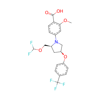 COc1cc(N2C[C@@H](Oc3ccc(C(F)(F)F)cc3)C[C@H]2COC(F)F)ccc1C(=O)O